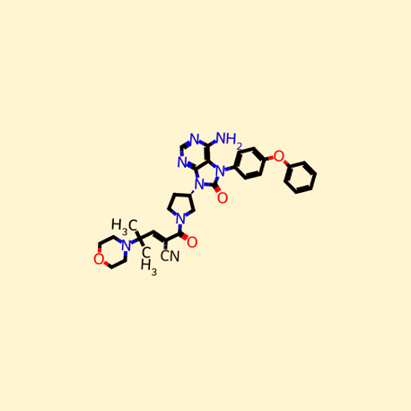 CC(C)(C=C(C#N)C(=O)N1CC[C@H](n2c(=O)n(-c3ccc(Oc4ccccc4)cc3)c3c(N)ncnc32)C1)N1CCOCC1